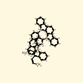 C=Cc1c(/C=C\C)c2ccccc2n1-c1nccc(-n2c3ccccc3c3ccc4c5ccccc5n(-c5ccc6cc7ccccc7cc6c5)c4c32)n1